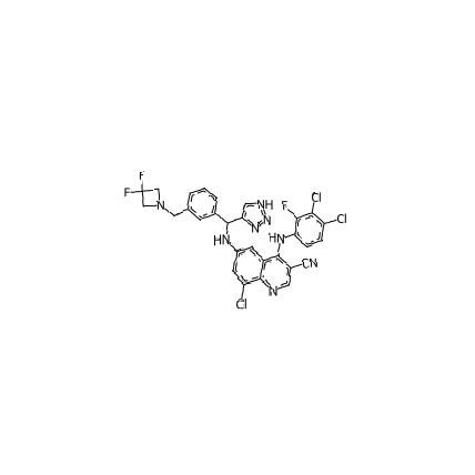 N#Cc1cnc2c(Cl)cc(NC(c3cccc(CN4CC(F)(F)C4)c3)c3c[nH]nn3)cc2c1Nc1ccc(Cl)c(Cl)c1F